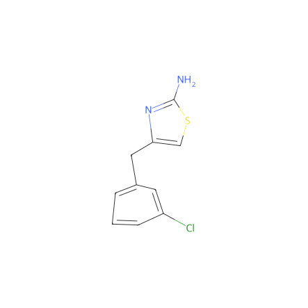 Nc1nc(Cc2cccc(Cl)c2)cs1